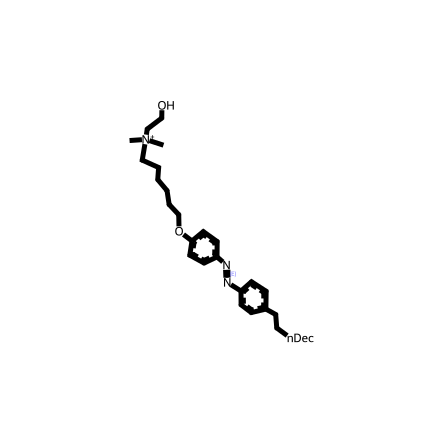 CCCCCCCCCCCCc1ccc(/N=N/c2ccc(OCCCCCC[N+](C)(C)CCO)cc2)cc1